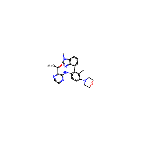 COC(=O)c1nccnc1Nc1ccc(N2CCOCC2)c(C)c1-c1cccc2c1ncn2C